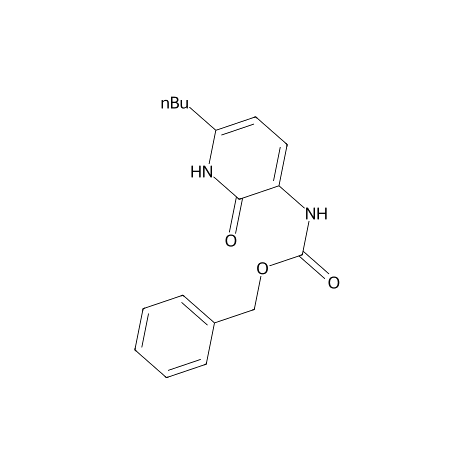 CCCCc1ccc(NC(=O)OCc2ccccc2)c(=O)[nH]1